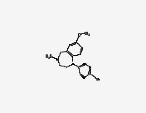 COc1ccc2c(c1)CN(C)CCC2c1ccc(Br)cc1